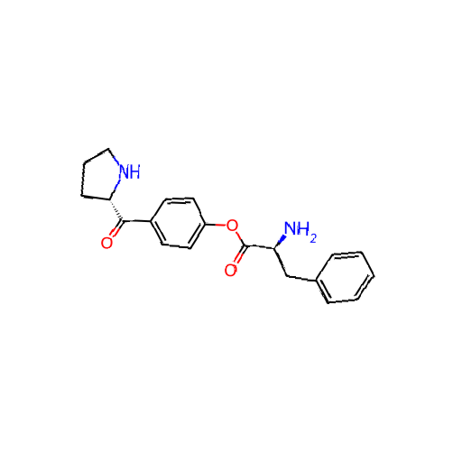 N[C@@H](Cc1ccccc1)C(=O)Oc1ccc(C(=O)[C@@H]2CCCN2)cc1